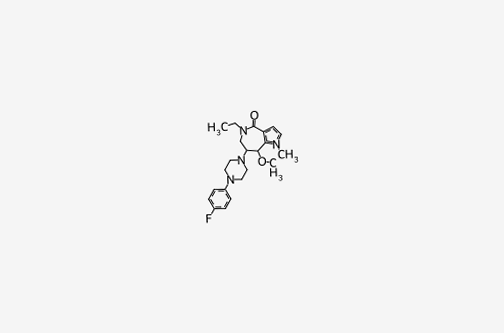 CCN1CC(N2CCN(c3ccc(F)cc3)CC2)C(OC)c2c(ccn2C)C1=O